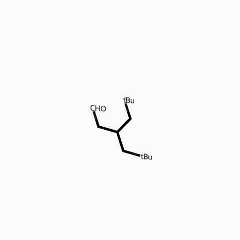 CC(C)(C)CC(CC=O)CC(C)(C)C